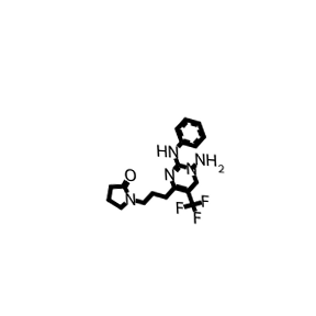 NN1CC(C(F)(F)F)=C(CCCN2CCCC2=O)N=C1Nc1ccccc1